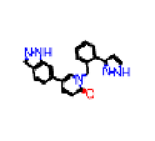 O=c1ccc(-c2ccc3cn[nH]c3c2)cn1Cc1ccccc1-c1cc[nH]n1